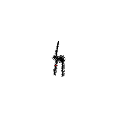 CCCCCCCCCCCCCCCCc1cc(C)sc1-c1sc(-c2sc(C)c3c2C(=O)N(CCCCCCCCCCCCCCCC)C3=O)cc1CCCCCCCCCCCCCCCC